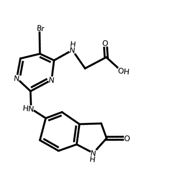 O=C(O)CNc1nc(Nc2ccc3c(c2)CC(=O)N3)ncc1Br